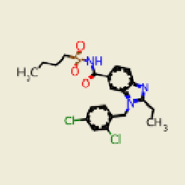 CCCCS(=O)(=O)NC(=O)c1ccc2nc(CC)n(Cc3ccc(Cl)cc3Cl)c2c1